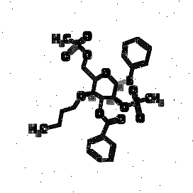 CCCCO[C@H]1C(COS(C)(=O)=O)O[C@H](Sc2ccccc2)[C@@H](OS(C)(=O)=O)C1OC(=O)c1ccccc1